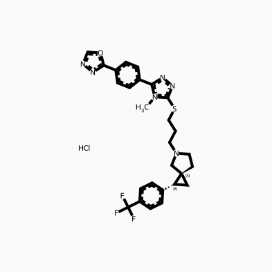 Cl.Cn1c(SCCCN2CC[C@]3(C[C@@H]3c3ccc(C(F)(F)F)cc3)C2)nnc1-c1ccc(-c2nnco2)cc1